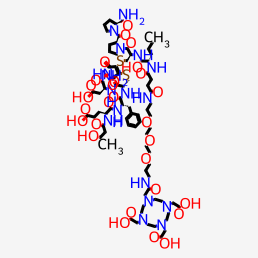 CCCC[C@H](NC(=O)CCC(=O)NCCCOCCOCCOCCCNC(=O)CN1CCN(CC(=O)O)CCN(CC(=O)O)CCN(CC(=O)O)CC1)C(O)N[C@@H](CSC1=C(SC[C@H](NC(=O)[C@H](Cc2ccccc2)NC(=O)[C@H](CCC(=O)O)NC(=O)C[C@@H](C)O)C(=O)N[C@@H](CC(=O)O)C(N)=O)C(=O)NC1=O)C(=O)N1CCC[C@H]1C(=O)N1CCC[C@H]1C(N)=O